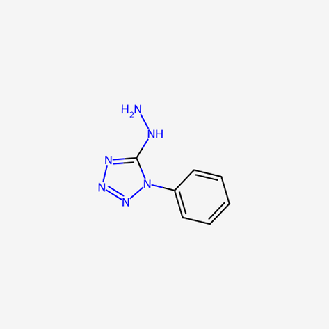 NNc1nnnn1-c1ccccc1